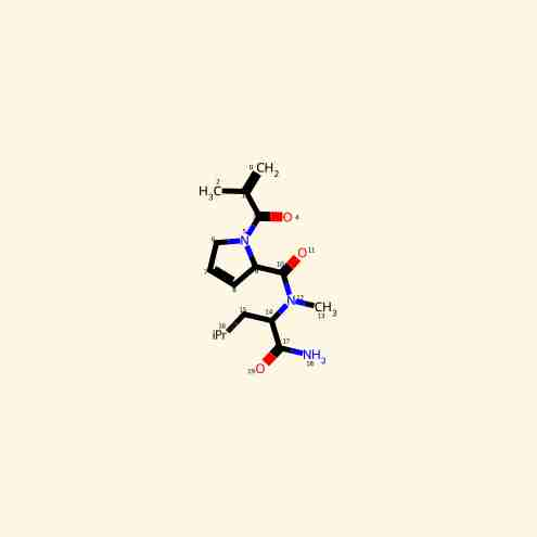 C=C(C)C(=O)N1CC=CC1C(=O)N(C)C(CC(C)C)C(N)=O